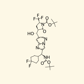 CC(C)(C)OC(=O)N[C@H](c1cn2ncc([C@H](O)[C@H]3C[C@@H](C(F)(F)F)N(C(=O)OC(C)(C)C)C3=O)cc2n1)C1CCC(F)(F)CC1